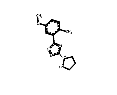 COc1ccc(C)c(-c2nc([C@@H]3CCCN3)no2)c1